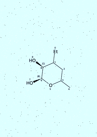 CCC1CC(C)O[C@@H](O)[C@H]1O